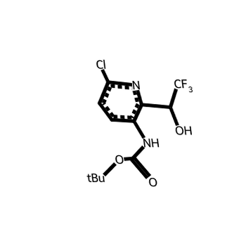 CC(C)(C)OC(=O)Nc1ccc(Cl)nc1C(O)C(F)(F)F